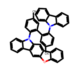 N#Cc1ccc(-n2c3ccccc3c3ccccc32)c(-c2cc(C#N)ccc2-n2c3ccccc3c3cc4oc5ccccc5c4cc32)c1